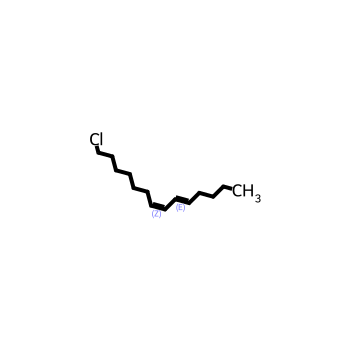 CCCC/C=C/C=C\CCCCCCCl